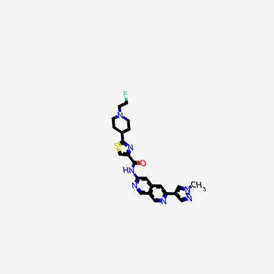 Cn1cc(-c2cc3cc(NC(=O)c4csc(C5CCN(CCF)CC5)n4)ncc3cn2)cn1